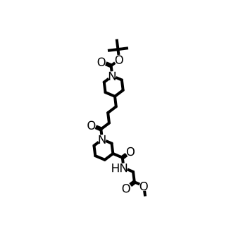 COC(=O)CNC(=O)C1CCCN(C(=O)CCCC2CCN(C(=O)OC(C)(C)C)CC2)C1